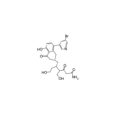 NC(=O)CC(=O)C(CO)C(CCO)CC1CC(=O)c2c(O)ccc(-c3cncc(Br)c3)c2C1